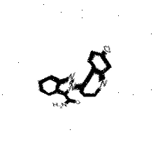 NC(=O)c1c2c(nn1-c1ccnc3cc(Cl)ccc13)CC[C]C2